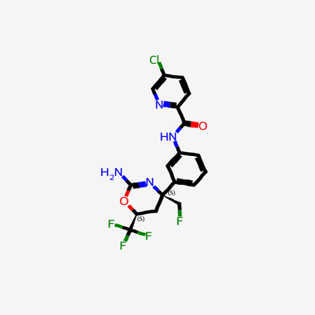 NC1=N[C@](CF)(c2cccc(NC(=O)c3ccc(Cl)cn3)c2)C[C@@H](C(F)(F)F)O1